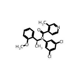 COc1ccccc1[C@H](C)N(C(=O)c1ccncc1C)c1cc(Cl)cc(Cl)c1